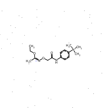 CCO/C(C)=N\OCC(=O)Nc1ccc([N+](C)(C)C)cc1